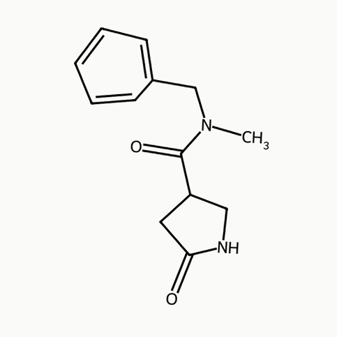 CN(Cc1ccccc1)C(=O)C1CNC(=O)C1